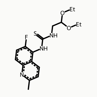 CCOC(CNC(=S)Nc1c(F)ccc2nc(C)ccc12)OCC